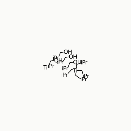 CC(C)CO.CC(C)CO.CC(C)CO.CC(C)CO.CC(C)[CH2][Ti]([CH2]C(C)C)([CH2]C(C)C)[CH2]C(C)C.[Ti]